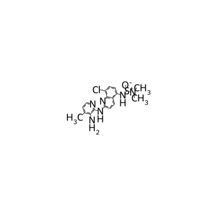 Cc1ccnc(Nc2ccc3c(N[S+]([O-])N(C)C)ccc(Cl)c3n2)c1N